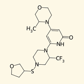 CC1COCCN1c1cc(N2CCN(SC3CCOC3)CC2C(F)(F)F)[nH]c(=O)c1